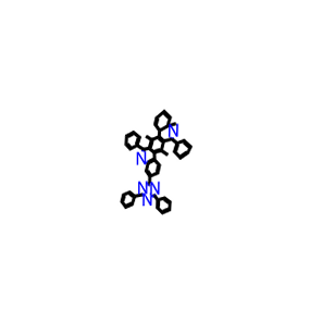 Cc1c2c(c(C)c3c1c(-c1ccccc1)nc1cc(-c4nc(-c5ccccc5)nc(-c5ccccc5)n4)ccc13)C(c1ccccc1)=NC1(C)C=CC=CC21